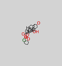 C[C@]12CCC(=O)C=C1CC[C@@H]1[C@@H]2[C@@H](O)C[C@@]2(C)[C@H]1CC[C@]2(OC(=O)OC1CCCCC1)C(=O)OCCl